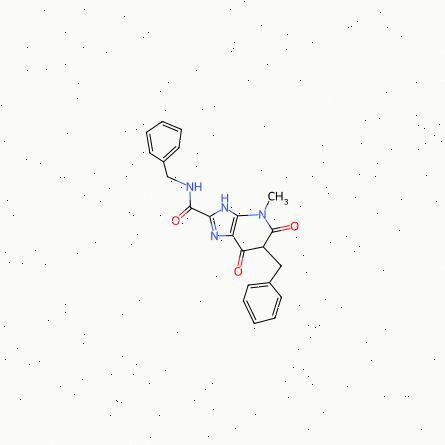 CN1C(=O)C(Cc2ccccc2)C(=O)c2nc(C(=O)NCc3ccccc3)[nH]c21